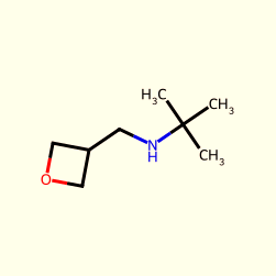 CC(C)(C)NCC1COC1